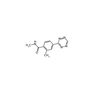 CNC(=O)c1ccc(-c2nncnn2)cc1C